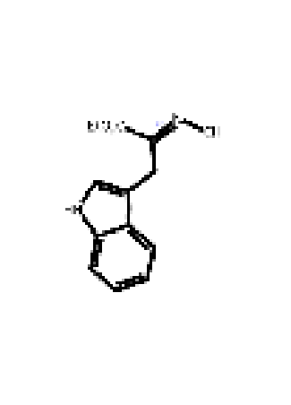 CCOC(=O)/C(Cc1c[nH]c2ccccc12)=N/C